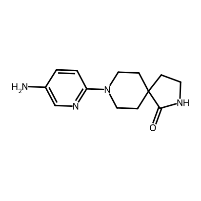 Nc1ccc(N2CCC3(CCNC3=O)CC2)nc1